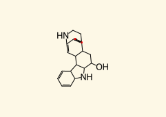 OC1CC2C(C=C3NCCC24CC=CC=C34)C2C3C=CC=CC3NC12